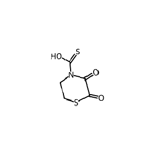 O=C1SCCN(C(O)=S)C1=O